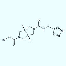 CC(C)(C)OC(=O)N1C[C@H]2CN(C(=O)NCc3c[nH]nn3)C[C@H]2C1